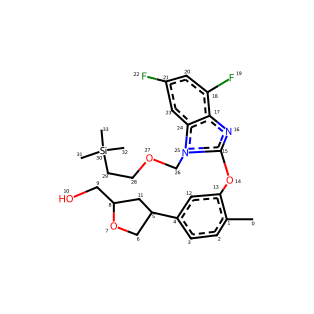 Cc1ccc(C2COC(CO)C2)cc1Oc1nc2c(F)cc(F)cc2n1COCC[Si](C)(C)C